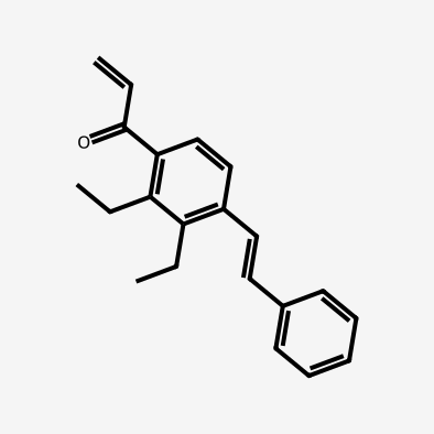 C=CC(=O)c1ccc(C=Cc2ccccc2)c(CC)c1CC